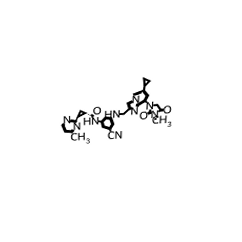 Cc1ccnc([C@H]2C[C@@H]2C(=O)Nc2cc(C#N)cc(NCc3cn4cc(C5CC5)cc(N5CC(=O)N(C)C5=O)c4n3)c2)n1